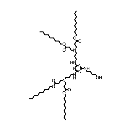 CCCCCCCCCOC(=O)CCN(CCCNc1nc(NCCCCO)nc(NCCCN(CCC(=O)OCCCCCCCCC)CCC(=O)OCCCCCCCCC)n1)CCC(=O)OCCCCCCCCC